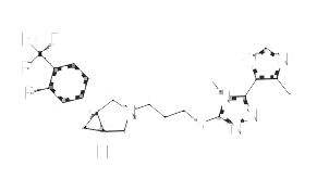 Cc1ncoc1-c1nnc(SCCCN2C[C@H]3C[C@@]3(c3ccc(C(F)(F)F)c(F)c3)C2)n1C